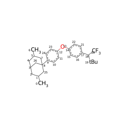 CC1CC2CC(C)CC(c3ccc(Oc4ccc(C(C(C)(C)C)C(F)(F)F)cc4)cc3)(C1)C2